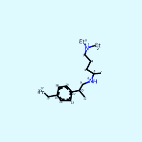 CCN(CC)CCCC(C)NCC(C)c1ccc(CC(C)C)cc1